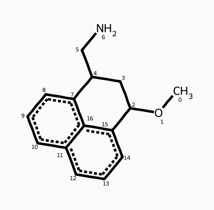 COC1CC(CN)c2cccc3cccc1c23